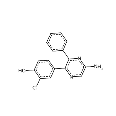 Nc1cnc(-c2ccc(O)c(Cl)c2)c(-c2ccccc2)n1